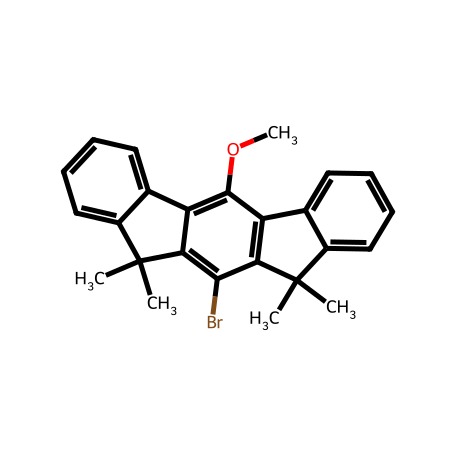 COc1c2c(c(Br)c3c1-c1ccccc1C3(C)C)C(C)(C)c1ccccc1-2